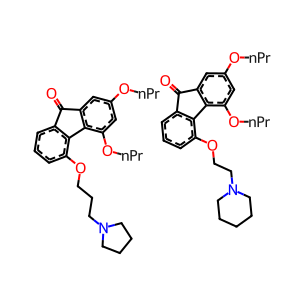 CCCOc1cc(OCCC)c2c(c1)C(=O)c1cccc(OCCCN3CCCC3)c1-2.CCCOc1cc(OCCC)c2c(c1)C(=O)c1cccc(OCCN3CCCCC3)c1-2